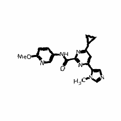 COc1ccc(NC(=O)c2nc(-c3cncn3C)cc(C3CC3)n2)cn1